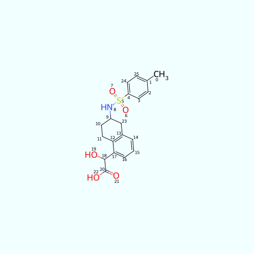 Cc1ccc(S(=O)(=O)NC2CCc3c(cccc3C(O)C(=O)O)C2)cc1